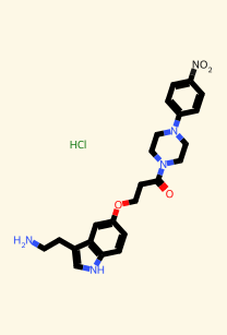 Cl.NCCc1c[nH]c2ccc(OCCC(=O)N3CCN(c4ccc([N+](=O)[O-])cc4)CC3)cc12